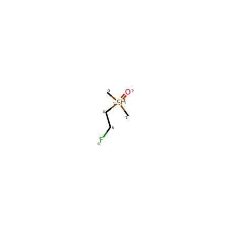 C[SH](C)(=O)CCF